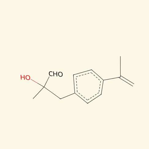 C=C(C)c1ccc(CC(C)(O)C=O)cc1